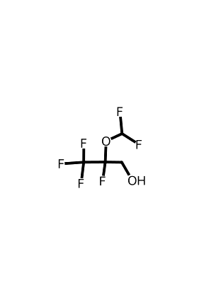 OCC(F)(OC(F)F)C(F)(F)F